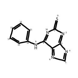 S=C1N=C2N=CN=C2C(Nc2ccccc2)=N1